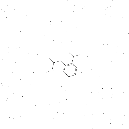 CC(C)CC1=C(C(C)C)C=CCS1